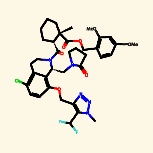 COc1ccc(COC(=O)[C@@]2(C)CCCC[C@H]2C(=O)N2CCc3c(Cl)ccc(OCc4nnn(C)c4C(F)F)c3[C@H]2CN2CCCC2=O)c(OC)c1